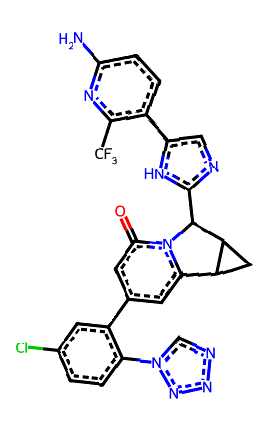 Nc1ccc(-c2cnc(C3C4CC4c4cc(-c5cc(Cl)ccc5-n5cnnn5)cc(=O)n43)[nH]2)c(C(F)(F)F)n1